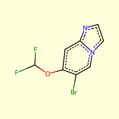 FC(F)Oc1cc2nccn2cc1Br